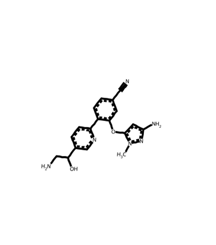 Cn1nc(N)cc1Oc1cc(C#N)ccc1-c1ccc(C(O)CN)cn1